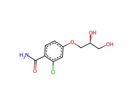 NC(=O)c1ccc(OC[C@@H](O)CO)cc1Cl